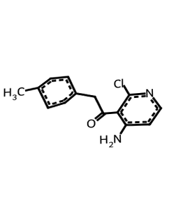 Cc1ccc(CC(=O)c2c(N)ccnc2Cl)cc1